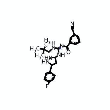 CC(C)(C)CN/C(=N/C(=O)c1cccc(C#N)c1)NC1CC(c2ccc(F)cc2)NN1